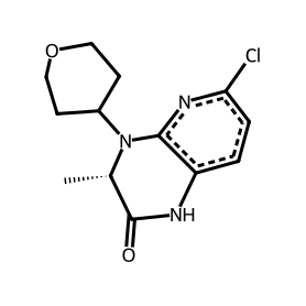 C[C@H]1C(=O)Nc2ccc(Cl)nc2N1C1CCOCC1